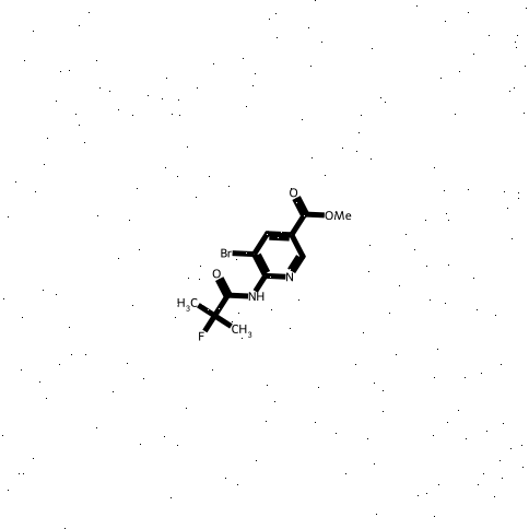 COC(=O)c1cnc(NC(=O)C(C)(C)F)c(Br)c1